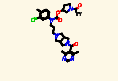 Cc1ccc(N(CCCN2CC3CN(C(=O)c4c(C)ncnc4C)CC3C2)C(=O)OC2CCN(C(=O)C(C)C)C2)cc1Cl